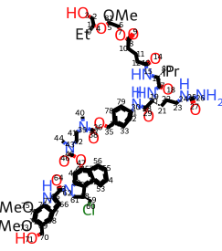 CCC(CO)OC(COC(=O)CCCC(=O)N[C@@H](C(=O)N[C@H](CCCNC(N)=O)C(=O)Nc1ccc(COC(=O)N(C)CCN(C)C(=O)Oc2cc3c(c4ccccc24)[C@@H](CCl)CN3C(=O)c2cc3cc(CO)c(OC)c(OC)c3[nH]2)cc1)C(C)C)OC